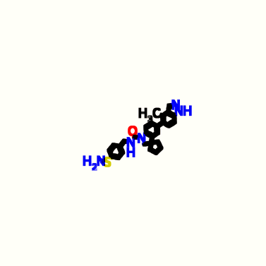 Cc1c(-c2ccc3c(c2)C2(CCCC2)CN3C(=O)NCc2ccc(SN)cc2)ccc2[nH]ncc12